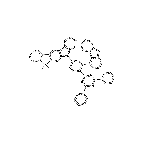 CC1(C)c2ccccc2-c2cc3c4ccccc4n(-c4ccc(-c5nc(-c6ccccc6)nc(-c6ccccc6)n5)c(-c5cccc6oc7ccccc7c56)c4)c3cc21